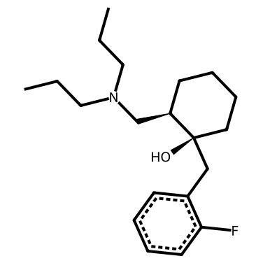 CCCN(CCC)C[C@H]1CCCC[C@]1(O)Cc1ccccc1F